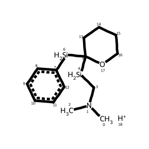 CN(C)C[SiH2]C1([SiH2]c2ccccc2)CCCCO1.[H+]